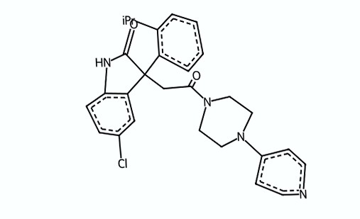 CC(C)c1ccccc1C1(CC(=O)N2CCN(c3ccncc3)CC2)C(=O)Nc2ccc(Cl)cc21